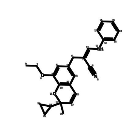 CCOc1cc(CC(C#N)=CNc2ccccc2)cc2c1OC(C)(C1CC1)C=C2